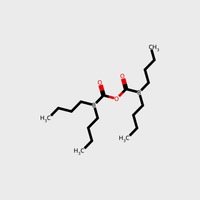 CCCCB(CCCC)C(=O)OC(=O)B(CCCC)CCCC